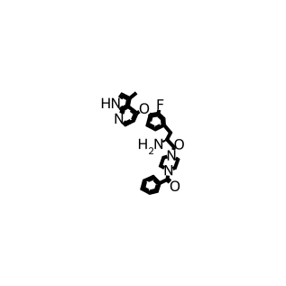 Cc1c[nH]c2nccc(Oc3ccc(C[C@H](N)C(=O)N4CCN(C(=O)c5ccccc5)CC4)cc3F)c12